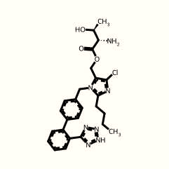 CCCCc1nc(Cl)c(COC(=O)[C@@H](N)[C@H](C)O)n1Cc1ccc(-c2ccccc2-c2nn[nH]n2)cc1